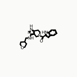 O=C(c1cc2ccccc2[nH]1)N1CCc2[nH]nc(NCC3CCOCC3)c2C1